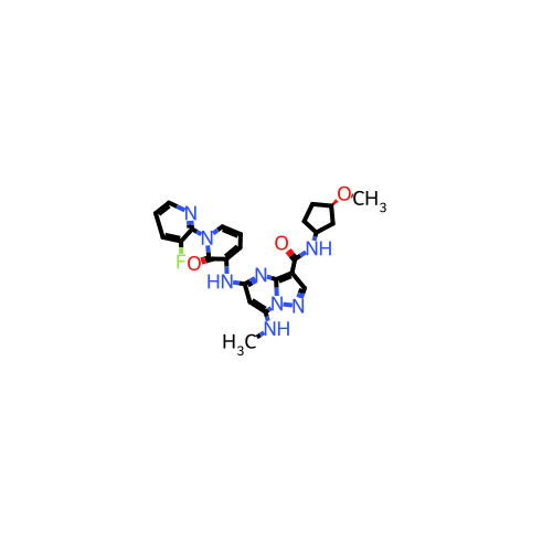 CNc1cc(Nc2cccn(-c3ncccc3F)c2=O)nc2c(C(=O)NC3CC[C@@H](OC)C3)cnn12